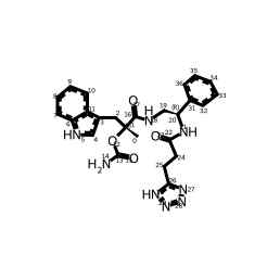 C[C@](Cc1c[nH]c2ccccc12)(OC(N)=O)C(=O)NC[C@H](NC(=O)CCc1nnn[nH]1)c1ccccc1